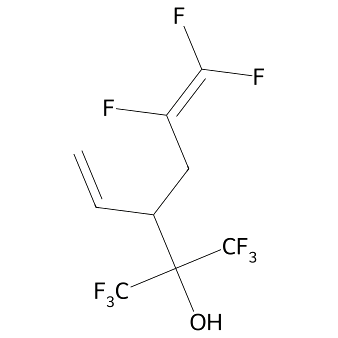 C=CC(CC(F)=C(F)F)C(O)(C(F)(F)F)C(F)(F)F